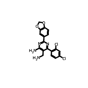 NCc1c(N)nc(-c2ccc3c(c2)OCO3)nc1-c1ccc(Cl)cc1Cl